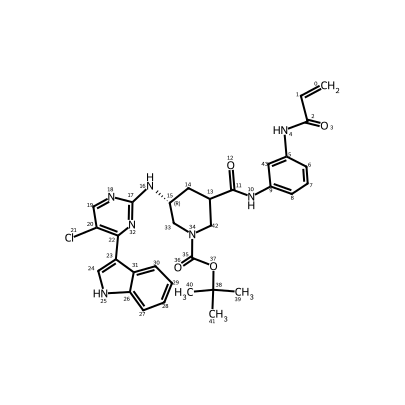 C=CC(=O)Nc1cccc(NC(=O)C2C[C@@H](Nc3ncc(Cl)c(-c4c[nH]c5ccccc45)n3)CN(C(=O)OC(C)(C)C)C2)c1